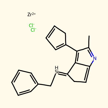 CC1=NC2=CCC(=[SiH]Cc3ccccc3)C2=C1C1=CC=CC1.[Cl-].[Cl-].[Zr+2]